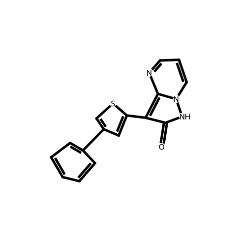 O=c1[nH]n2cccnc2c1-c1cc(-c2ccccc2)cs1